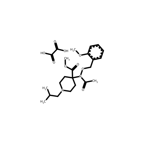 COC(=O)C1(N(OCc2ccccc2OC)C(C)=O)CCN(CC(C)C)CC1.O=C(O)C(=O)O